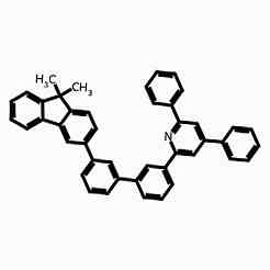 CC1(C)c2ccccc2-c2cc(-c3cccc(-c4cccc(-c5cc(-c6ccccc6)cc(-c6ccccc6)n5)c4)c3)ccc21